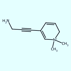 C[N+]1(C)C=C(C#CCN)C=CC1